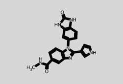 CNC(=O)c1ccc2c(c1)nc(-c1cc[nH]c1)n2-c1ccc2[nH]c(=O)[nH]c2c1